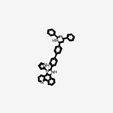 C1=C(c2ccc(-c3ccc(C4Nc5c(c6cccnc6c6ccccc56)N4c4ccc[nH]4)cc3)cc2)NC(c2ccccc2)N=C1c1ccccc1